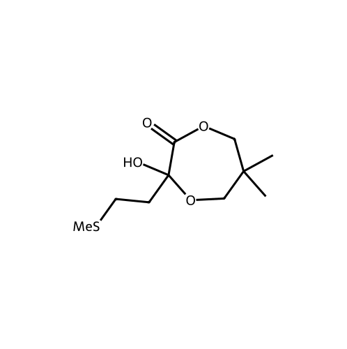 CSCCC1(O)OCC(C)(C)COC1=O